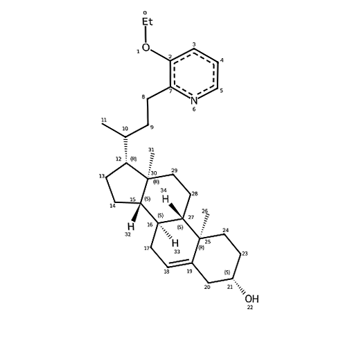 CCOc1cccnc1CCC(C)[C@H]1CC[C@H]2[C@@H]3CC=C4C[C@@H](O)CC[C@]4(C)[C@H]3CC[C@]12C